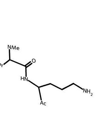 CNC(C(=O)NC(CCCN)C(C)=O)C(C)C